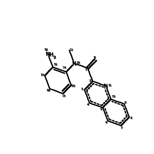 C=C(c1ccc2ccccc2n1)N(C)C1=C(N)CCC=C1